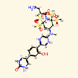 CN(c1cnc(-c2ccc(-c3cnc(=O)[nH]c3)cc2O)cn1)C1CC(S(C)(=O)=O)(S(C)(=O)=O)N(C(=O)CCN)C(S(C)(=O)=O)(S(C)(=O)=O)C1